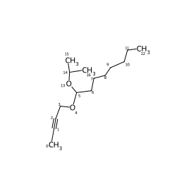 CC#CCOC(CCCCCCC)OC(C)C